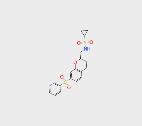 O=S(=O)(c1ccccc1)c1ccc2c(c1)OC(CNS(=O)(=O)C1CC1)CC2